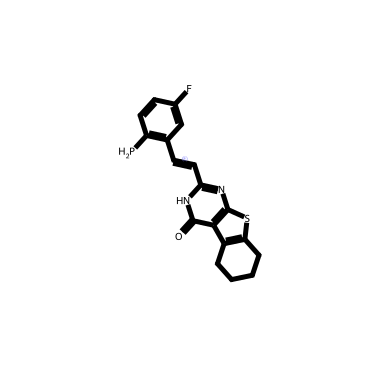 O=c1[nH]c(/C=C/c2cc(F)ccc2P)nc2sc3c(c12)CCCC3